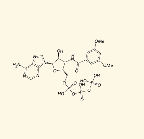 COc1cc(OC)cc(C(=O)NC2[C@@H](COP(=O)(O)OP(=O)(O)OP(=O)(O)O)O[C@@H](n3cnc4c(N)ncnc43)[C@H]2O)c1